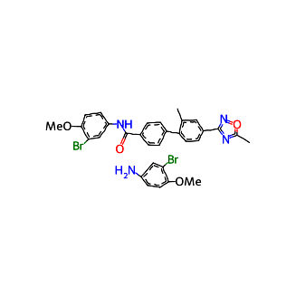 COc1ccc(N)cc1Br.COc1ccc(NC(=O)c2ccc(-c3ccc(-c4noc(C)n4)cc3C)cc2)cc1Br